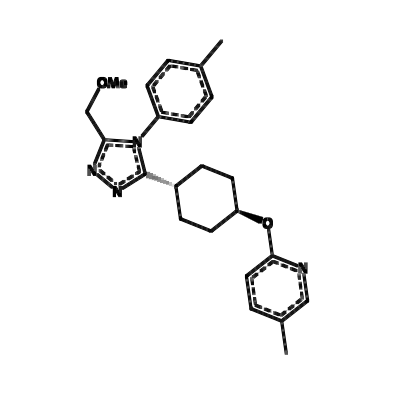 COCc1nnc([C@H]2CC[C@H](Oc3ccc(C)cn3)CC2)n1-c1ccc(C)cc1